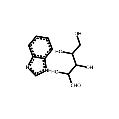 O=CC(O)C(O)C(O)CO.c1ccc2[nH]cnc2c1